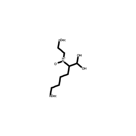 CCCCCCCCCCCCCCC(C(O)O)[NH+]([O-])CCCCCCCCCCCC